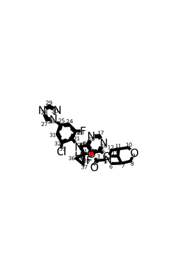 CC1(OC(=O)N2CC3COCC(C2)C3Oc2ncnc(Nc3c(F)cc(-n4cncn4)cc3Cl)c2F)CC1